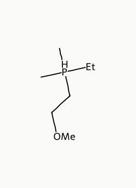 CC[PH](C)(C)CCOC